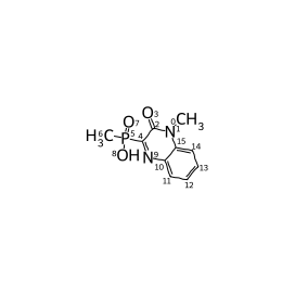 Cn1c(=O)c(P(C)(=O)O)nc2ccccc21